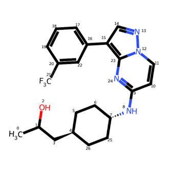 CC(O)C[C@H]1CC[C@H](Nc2ccn3ncc(-c4cccc(C(F)(F)F)c4)c3n2)CC1